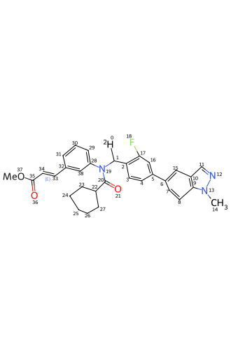 [2H]C(c1ccc(-c2ccc3c(cnn3C)c2)cc1F)N(C(=O)C1CCCCC1)c1cccc(/C=C/C(=O)OC)c1